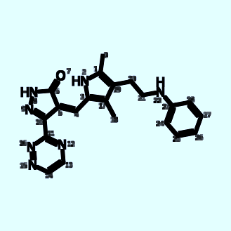 Cc1[nH]c(C=C2C(=O)NN=C2c2nccnn2)c(C)c1CCNc1ccccc1